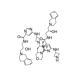 O=C(NC[C@H](O)CN1CCc2ccccc2C1)c1cc(NC2CN([C@H](CC3COCCN3c3nc(NC4CNC4)cc(C(=O)NC[C@H](O)CN4CCc5ccccc5C4)n3)C(F)(F)F)C2)ncn1